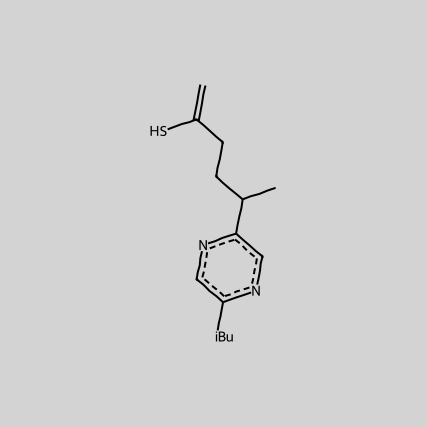 C=C(S)CCC(C)c1cnc(C(C)CC)cn1